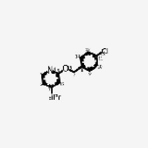 CC(C)c1ccnc(OCc2ccc(Cl)cc2)c1